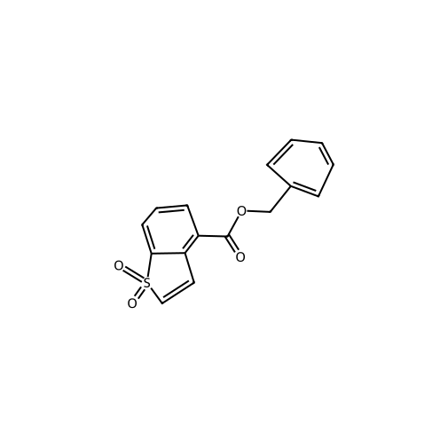 O=C(OCc1ccccc1)c1cccc2c1C=CS2(=O)=O